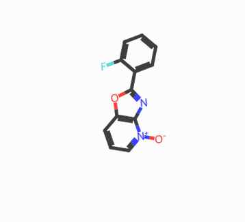 [O-][n+]1cccc2oc(-c3ccccc3F)nc21